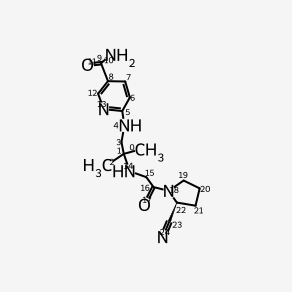 CC(C)(CNc1ccc(C(N)=O)cn1)NCC(=O)N1CCC[C@H]1C#N